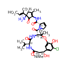 C=C(C)[C@@H]1NC(=O)[C@@H](NC)[C@@H](O)c2cc(Cl)c(O)c(c2)O[C@](C)(CC)[C@@H](C(=O)N2CC=C[C@H]2C(=O)NC2=C(C)CC(N)(/C(=C/C(=O)O)C(=O)O)C2=O)NC1=O